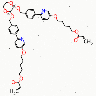 C=CC(=O)OCCCCCOc1ccc(-c2ccc(CO[C@H]3OCCO[C@@H]3OCc3ccc(-c4ccc(OCCCCCOC(=O)C=C)cn4)cc3)cc2)nc1